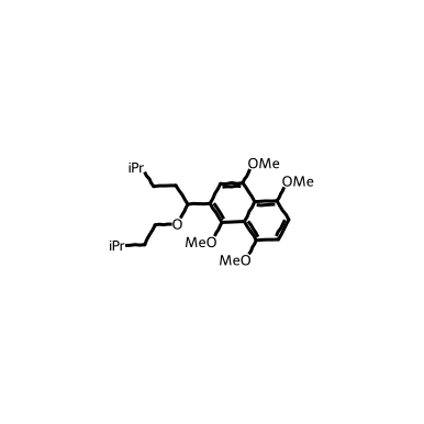 COc1ccc(OC)c2c(OC)c(C(CCC(C)C)OCCC(C)C)cc(OC)c12